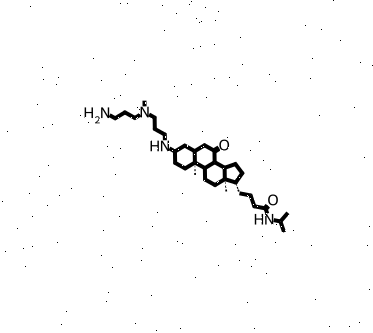 CC(C)NC(=O)CCC[C@H]1CCC2C3C(=O)CC4CC(NCCCN(C)CCCN)CC[C@]4(C)C3CC[C@@]21C